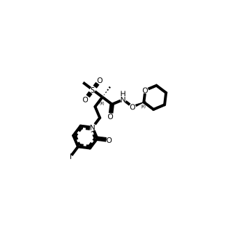 C[C@@](CCn1ccc(I)cc1=O)(C(=O)NO[C@@H]1CCCCO1)S(C)(=O)=O